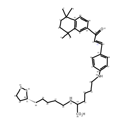 CC1(C)CCC(C)(C)c2cc(C(=O)/C=C/c3ccc(NCCCCC(NCCCCC[C@@H]4CCSS4)C(=O)O)cc3)ccc21